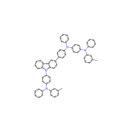 Cc1cccc(N(c2ccccc2)c2ccc(N(c3ccccc3)c3ccc(-c4ccc5c(c4)c4ccccc4n5-c4ccc(N(c5ccccc5)c5cccc(C)c5)cc4)cc3)cc2)c1